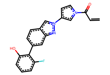 C=CC(=O)n1ccc(-n2cc3ccc(-c4c(O)cccc4F)cc3n2)c1